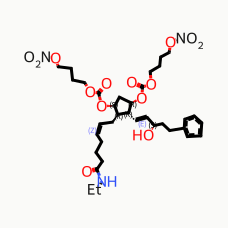 CCNC(=O)CCC/C=C\C[C@@H]1[C@@H](/C=C/[C@@H](O)CCc2ccccc2)[C@H](OC(=O)OCCCCO[N+](=O)[O-])C[C@@H]1OC(=O)OCCCCO[N+](=O)[O-]